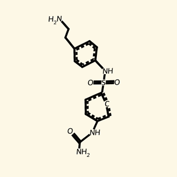 NCCc1ccc(NS(=O)(=O)c2ccc(NC(N)=O)cc2)cc1